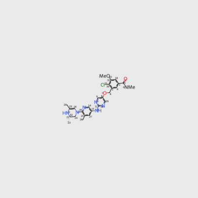 CNC(=O)c1cc(COc2cnc(Nc3cnc(N4C=C(C)N[C@@H](C)C4)c(C)c3)nc2)c(Cl)c(OC)c1